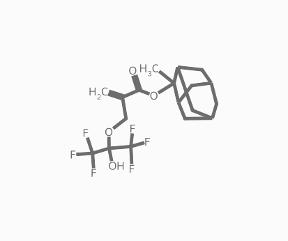 C=C(COC(O)(C(F)(F)F)C(F)(F)F)C(=O)OC1(C)C2CC3CC(C2)CC1C3